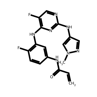 C=CC(=O)Nc1ccc(F)c(Nc2nc(Nc3cnn(C)c3)ncc2F)c1